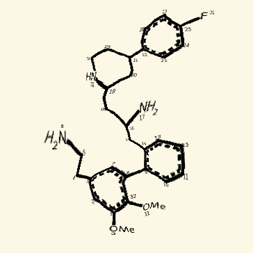 COc1cc(CCN)cc(-c2ccccc2CC(N)CC2CC(c3ccc(F)cc3)CCN2)c1OC